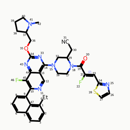 CCc1cccc2cccc(-c3ncc4c(N5CCN(C(=O)/C(F)=C/c6nccs6)C(CC#N)C5)nc(OCC5CCCN5C)nc4c3F)c12